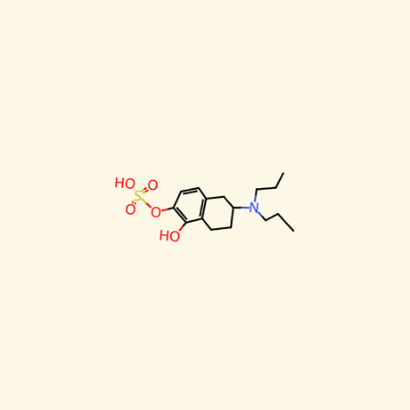 CCCN(CCC)C1CCc2c(ccc(OS(=O)(=O)O)c2O)C1